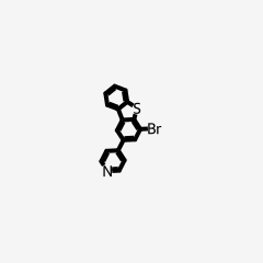 Brc1cc(-c2ccncc2)cc2c1sc1ccccc12